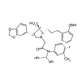 CCCC(CCC)N(C(=O)CN1C[C@H](c2ccc3c(c2)OCO3)[C@@H](C(=O)O)[C@@H]1CCCc1ccccc1OC)c1ccc(F)c(C)c1